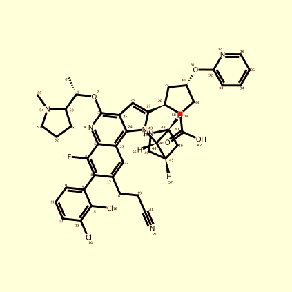 C[C@H](Oc1nc2c(F)c(-c3cccc(Cl)c3Cl)c(CCC#N)cc2c2c1cc([C@H]1C[C@H](Oc3ccccn3)CN1C(=O)O)n2[C@H]1[C@H]2CN[C@@H]1C2)C1CCCN1C